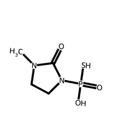 CN1CCN(P(=O)(O)S)C1=O